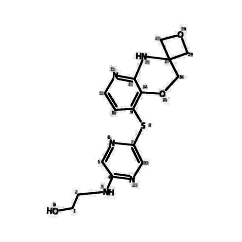 OCCNc1cnc(Sc2ccnc3c2OCC2(COC2)N3)cn1